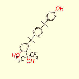 CC(C)(c1ccc(O)cc1)c1ccc(C(C)(C)c2ccc(O)c(C(O)(C(F)(F)F)C(F)(F)F)c2)cc1